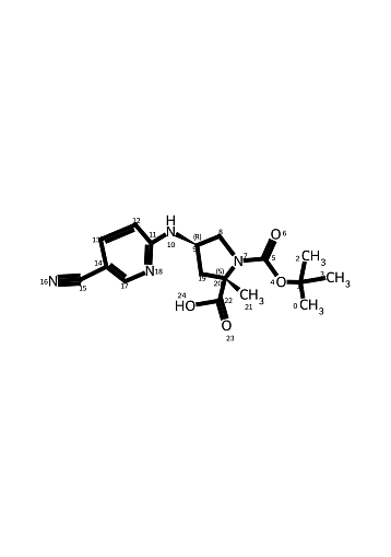 CC(C)(C)OC(=O)N1C[C@H](Nc2ccc(C#N)cn2)C[C@@]1(C)C(=O)O